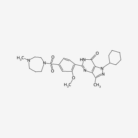 COc1cc(S(=O)(=O)N2CCCN(C)CC2)ccc1-c1nc2c(C)nn(C3CCCCC3)c2c(=O)[nH]1